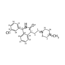 CN1CCN(CCC2C(=O)NC(c3cccc(Cl)c3)c3ccccc32)CC1